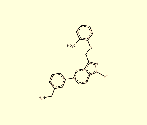 CC(C)n1nc(COc2ccccc2C(=O)O)c2cc(-c3cccc(CN)c3)ccc21